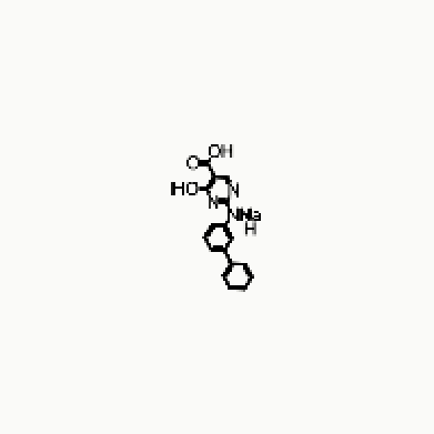 O=C(O)c1cnc(Nc2cccc(-c3ccccc3)c2)nc1O.[NaH]